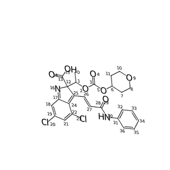 CC(OC(=O)OC1CCOCC1)C1(C(=O)O)N=c2cc(Cl)cc(Cl)c2=C1C=CC(=O)Nc1ccccc1